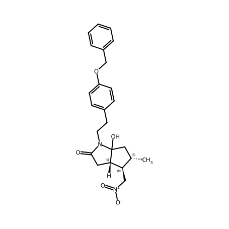 C[C@H]1CC2(O)[C@@H](CC(=O)N2CCc2ccc(OCc3ccccc3)cc2)[C@@H]1C[N+](=O)[O-]